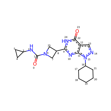 O=C(NC1CC1)N1CC(c2nc3c(cnn3C3CCCCC3)c(=O)[nH]2)C1